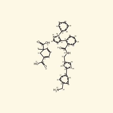 CC1(C(=O)O)C=CC=C(C(=O)O)C1.NCc1ccc(-c2nc(CNC(=O)c3ccccc3-c3ccnn3-c3ccccc3)cs2)cc1